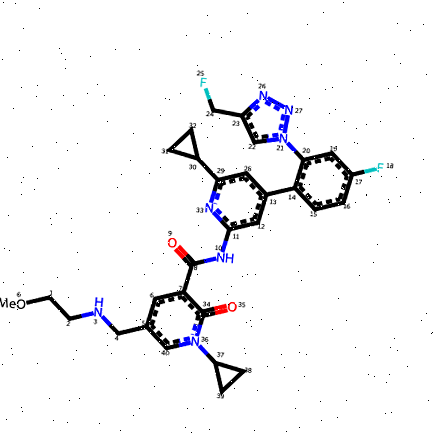 COCCNCc1cc(C(=O)Nc2cc(-c3ccc(F)cc3-n3cc(CF)nn3)cc(C3CC3)n2)c(=O)n(C2CC2)c1